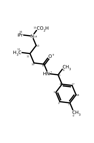 Cc1ccc(C(C)NC(=O)CC(C)CN(C(=O)O)C(C)C)cc1